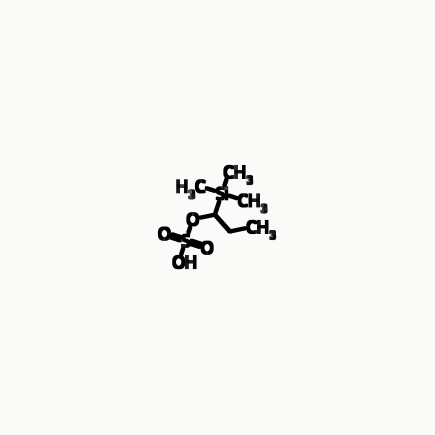 CCC(OS(=O)(=O)O)[Si](C)(C)C